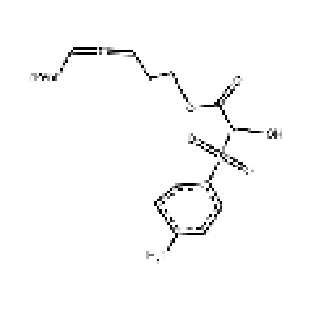 CCCCCC=C=CCCOC(=O)N(O)S(=O)(=O)c1ccc(C)cc1